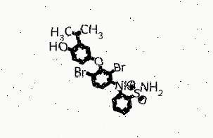 CC(C)c1cc(Oc2c(Br)ccc(Nc3ccccc3S(N)(=O)=O)c2Br)ccc1O